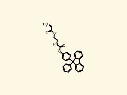 C=CC(=O)OCCNC(=O)Oc1ccc(C2(c3ccccc3)c3ccccc3-c3ccccc32)cc1